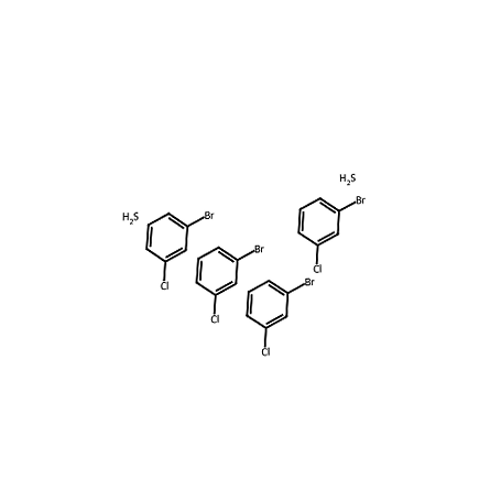 Clc1cccc(Br)c1.Clc1cccc(Br)c1.Clc1cccc(Br)c1.Clc1cccc(Br)c1.S.S